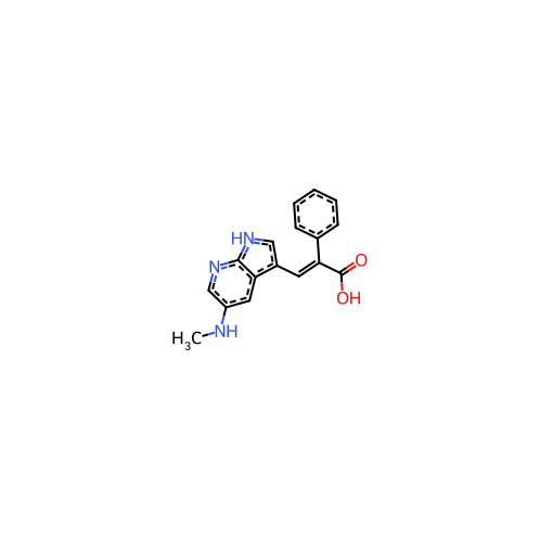 CNc1cnc2[nH]cc(/C=C(/C(=O)O)c3ccccc3)c2c1